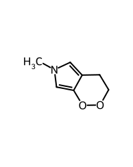 Cn1cc2c(c1)OOCC2